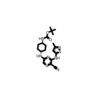 Cc1cc(Nc2nc(N[C@H]3CC[C@H](NC(=O)OC(C)(C)C)CC3)cnc2C#N)sn1